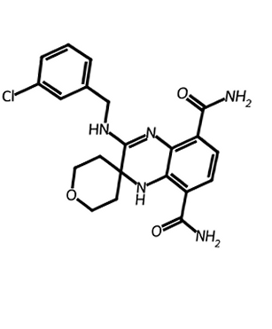 NC(=O)c1ccc(C(N)=O)c2c1N=C(NCc1cccc(Cl)c1)C1(CCOCC1)N2